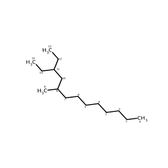 CCCCCCCCC(C)CC(CC)CC